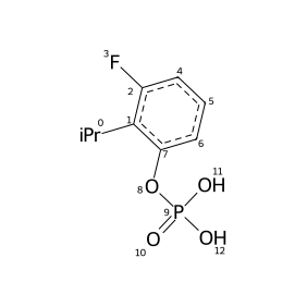 CC(C)c1c(F)cccc1OP(=O)(O)O